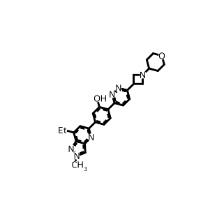 CCc1cc(-c2ccc(-c3ccc(C4CN(C5CCOCC5)C4)nn3)c(O)c2)nc2cn(C)nc12